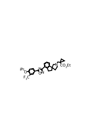 CCOC(=O)C1(CN2CCC3(CCc4c(-c5noc(-c6ccc(OC(C)C)c(C(F)(F)F)c6)n5)cccc43)C2)CC1